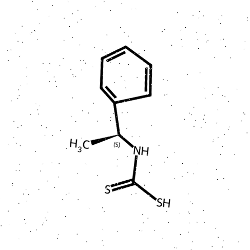 C[C@H](NC(=S)S)c1ccccc1